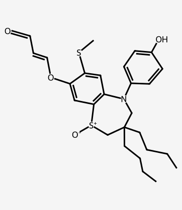 CCCCC1(CCCC)CN(c2ccc(O)cc2)c2cc(SC)c(O/C=C/C=O)cc2[S+]([O-])C1